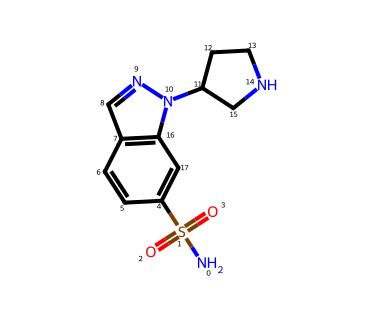 NS(=O)(=O)c1ccc2cnn(C3CCNC3)c2c1